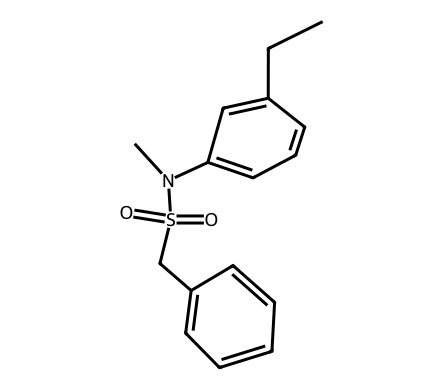 CCc1cccc(N(C)S(=O)(=O)Cc2ccccc2)c1